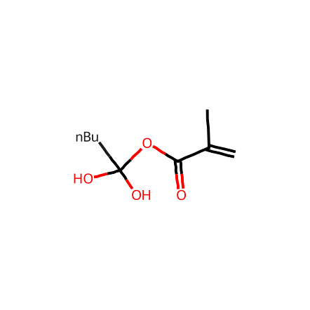 C=C(C)C(=O)OC(O)(O)CCCC